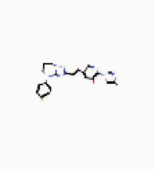 COc1cc(/C=C/c2nc3n(n2)CC[C@@H](C)N3c2ccc(F)cc2)cnc1-n1cnc(C)c1